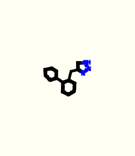 c1ccc(-c2ccccc2Cc2c[nH]nn2)cc1